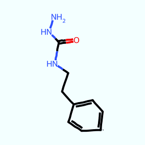 NNC(=O)NCCc1cc[c]cc1